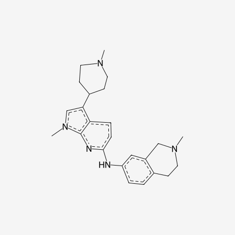 CN1CCC(c2cn(C)c3nc(Nc4ccc5c(c4)CN(C)CC5)ccc23)CC1